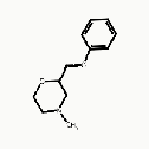 CN1CCOC(COc2ccccc2)C1